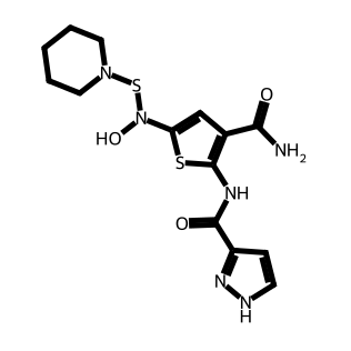 NC(=O)c1cc(N(O)SN2CCCCC2)sc1NC(=O)c1cc[nH]n1